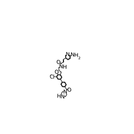 Nc1ccc(C=CC(=O)NCC2Cc3cc(-c4ccc(C(=O)N5CCNCC5)cc4)cc(Cl)c3O2)cn1